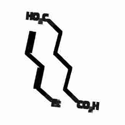 C=CC=CCC.O=C(O)CCCCC(=O)O